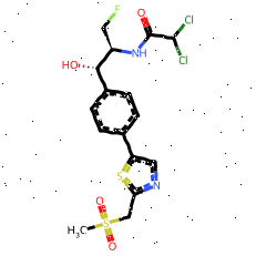 CS(=O)(=O)Cc1ncc(-c2ccc([C@H](O)[C@@H](CF)NC(=O)C(Cl)Cl)cc2)s1